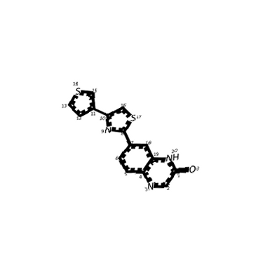 O=c1cnc2ccc(-c3nc(-c4ccsc4)cs3)cc2[nH]1